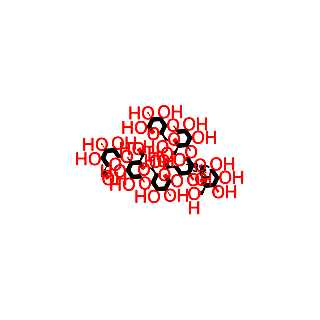 OC[C@H]1O[13CH](O[C@H]2[C@@H](O[C@H]3[C@H](O)[C@@H](O)[C@@H](O[C@H]4[C@H](O)[C@@H](O)[C@@H](O)O[C@@H]4CO)O[C@@H]3CO)O[C@H](CO)[C@@H](O[C@H]3O[C@H](CO)[C@@H](O[C@H]4O[C@H](CO)[C@@H](O[C@H]5O[C@H](CO)[C@@H](O)[C@H](O)[C@H]5O)[C@H](O)[C@H]4O)[C@H](O)[C@H]3O)[C@@H]2O)[C@H](O)[C@@H](O)[C@H]1O